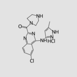 Cc1cc(Nc2nc(C(=O)N3CCNCC3)nc3ccc(Cl)cc23)n[nH]1.Cl